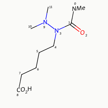 CNC(=O)N(CCCCC(=O)O)N(C)C